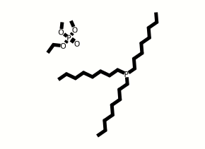 CCCCCCCCP(CCCCCCCC)CCCCCCCC.CCOP(=O)(OC)OC